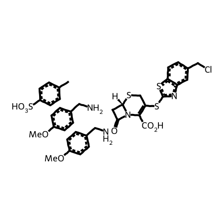 COc1ccc(CN)cc1.COc1ccc(CN)cc1.Cc1ccc(S(=O)(=O)O)cc1.O=C(O)C1=C(Sc2nc3cc(CCl)ccc3s2)CS[C@H]2CC(=O)N12